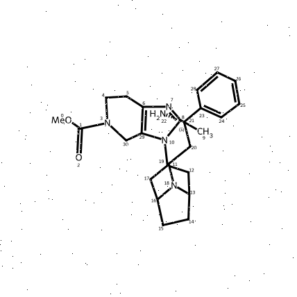 COC(=O)N1CCc2nc(C)n(C3CC4CCC(C3)N4CC[C@H](N)c3ccccc3)c2C1